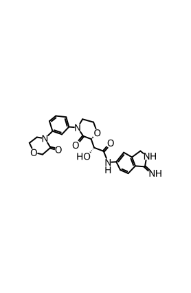 N=C1NCc2cc(NC(=O)[C@H](O)[C@H]3OCCN(c4cccc(N5CCOCC5=O)c4)C3=O)ccc21